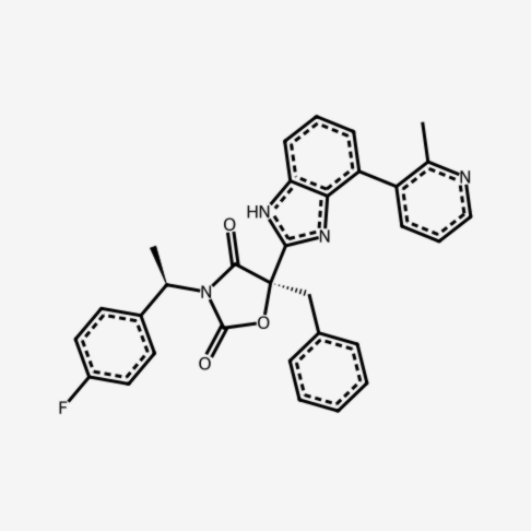 Cc1ncccc1-c1cccc2[nH]c([C@@]3(Cc4ccccc4)OC(=O)N([C@H](C)c4ccc(F)cc4)C3=O)nc12